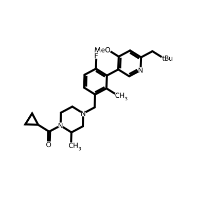 COc1cc(CC(C)(C)C)ncc1-c1c(F)ccc(CN2CCN(C(=O)C3CC3)C(C)C2)c1C